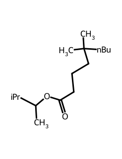 CCCCC(C)(C)CCCC(=O)OC(C)C(C)C